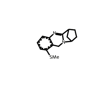 CSc1cccc2c1CN1C(=N2)C2CCC1C2